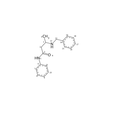 CC(CC(=O)Nc1ccccc1)NCc1ccccc1